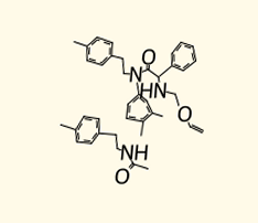 C=COCCNC(C(=O)N(CCc1ccc(C)cc1)c1ccc(C)c(C)c1)c1ccccc1.CC(=O)NCCc1ccc(C)cc1